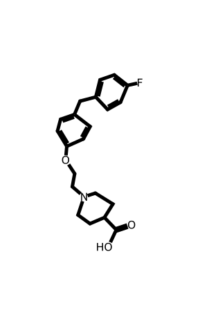 O=C(O)C1CCN(CCOc2ccc(Cc3ccc(F)cc3)cc2)CC1